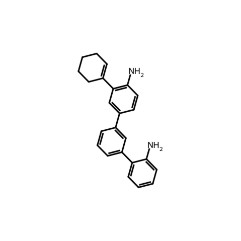 Nc1ccc(-c2cccc(-c3ccccc3N)c2)cc1C1=CCCCC1